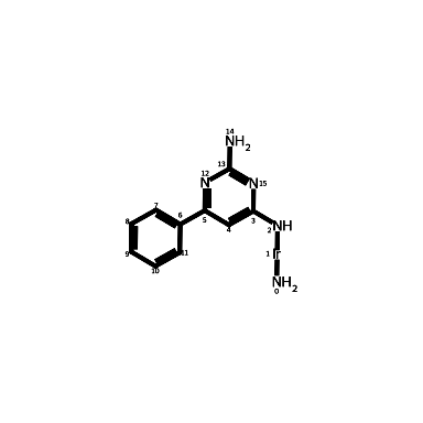 [NH2][Ir][NH]c1cc(-c2ccccc2)nc(N)n1